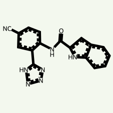 N#Cc1ccc(NC(=O)c2cc3ccccc3[nH]2)c(-c2nnn[nH]2)c1